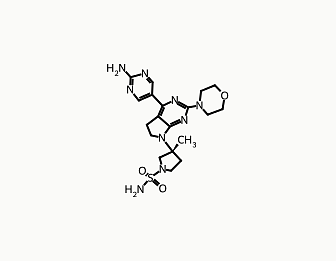 C[C@@]1(N2CCc3c(-c4cnc(N)nc4)nc(N4CCOCC4)nc32)CCN(S(N)(=O)=O)C1